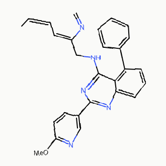 C=N/C(=C\C=C/C)CNc1nc(-c2ccc(OC)nc2)nc2cccc(-c3ccccc3)c12